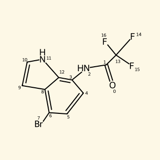 O=C(Nc1ccc(Br)c2cc[nH]c12)C(F)(F)F